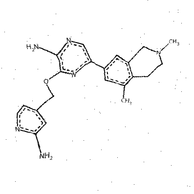 Cc1cc(-c2cnc(N)c(OCc3ccnc(N)c3)n2)cc2c1CCN(C)C2